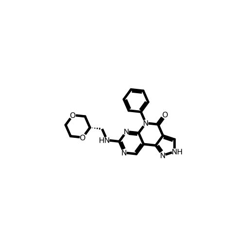 O=c1c2c[nH]nc2c2cnc(NC[C@H]3COCCO3)nc2n1-c1ccccc1